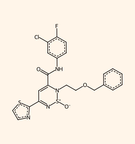 O=C(Nc1ccc(F)c(Cl)c1)C1=CC(c2nccs2)=N[S+]([O-])N1CCOCc1ccccc1